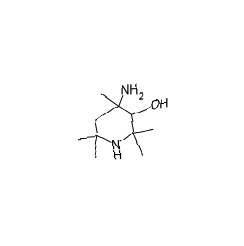 CC1(C)CC(C)(N)C(O)C(C)(C)N1